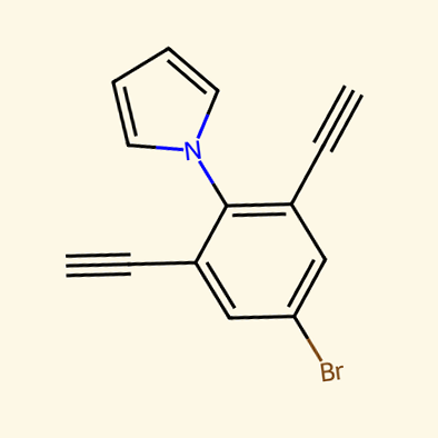 C#Cc1cc(Br)cc(C#C)c1-n1cccc1